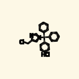 Cl.ClCc1cn(C(c2ccccc2)(c2ccccc2)c2ccccc2)cn1